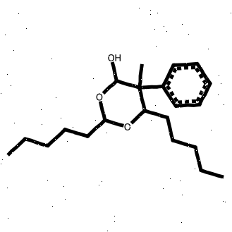 CCCCCC1OC(O)C(C)(c2ccccc2)C(CCCCC)O1